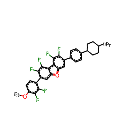 CCCC1CCC(c2ccc(-c3cc4oc5cc(-c6ccc(OCC)c(F)c6F)c(F)c(F)c5c4c(F)c3F)cc2)CC1